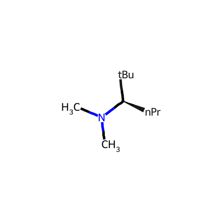 CCC[C@@H](N(C)C)C(C)(C)C